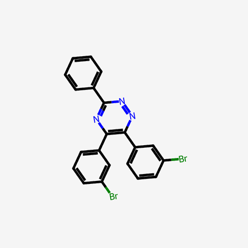 Brc1cccc(-c2nnc(-c3ccccc3)nc2-c2cccc(Br)c2)c1